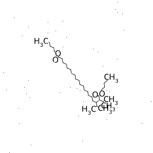 CCCCCOC(=O)CCCCCCCCCCCCCCCCC(C(C)C)C(C(=O)OCCCCC)C(C)C